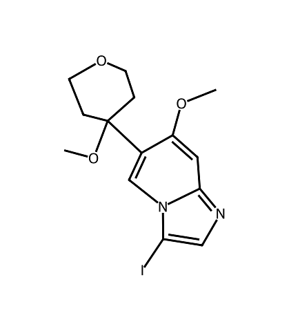 COc1cc2ncc(I)n2cc1C1(OC)CCOCC1